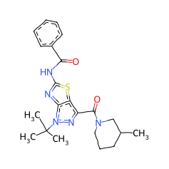 CC1CCCN(C(=O)c2nn(C(C)(C)C)c3nc(NC(=O)c4ccccc4)sc23)C1